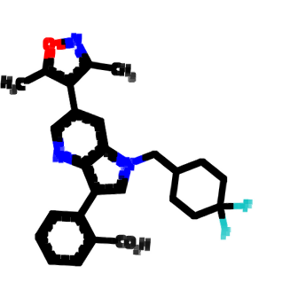 Cc1noc(C)c1-c1cnc2c(-c3ccccc3C(=O)O)cn(CC3CCC(F)(F)CC3)c2c1